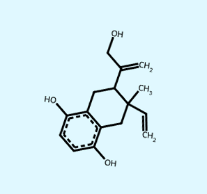 C=CC1(C)Cc2c(O)ccc(O)c2CC1C(=C)CO